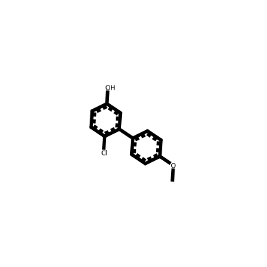 COc1ccc(-c2cc(O)ccc2Cl)cc1